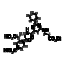 CCOC(=O)CCNc1cc(C(=O)N[C@@H](CCC(=O)O)C(=O)N2CCN(C(=O)OCC)CC2)nc(-c2ccccc2)n1